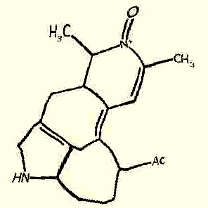 CC(=O)C1CCC2NCC3=C2C1=C1C=C(C)[N+](=O)C(C)C1C3